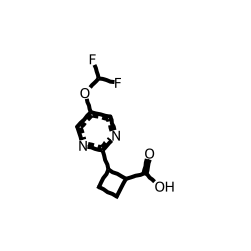 O=C(O)C1CCC1c1ncc(OC(F)F)cn1